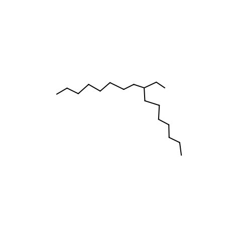 CCCCCCCCC(CC)CCCCCCC